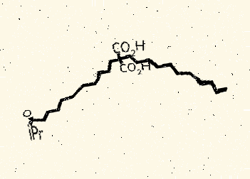 C=CCCCCCCCCCC(CCCCCCCCCCC(=O)C(C)C)(C(=O)O)C(=O)O